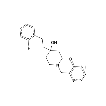 O=c1[nH]ccnc1CN1CCC(O)(CCc2ccccc2F)CC1